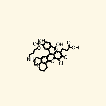 NCCCOP(=O)(O)c1ccc(C(=O)O)c(-c2c3cc(CCC(=O)O)c(=O)c(Cl)c-3oc3c4c5c(cc23)CCCN5CCC4)c1